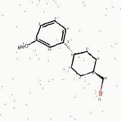 COc1cccc([C@H]2CC[C@H](CBr)CC2)c1